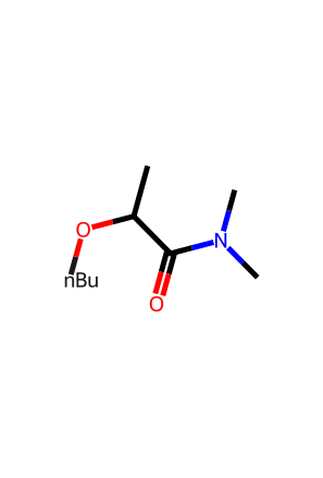 CCCCOC(C)C(=O)N(C)C